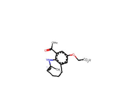 COC(=O)c1cc(OCC(=O)O)cc2c1N/C(C)=C/CCC2